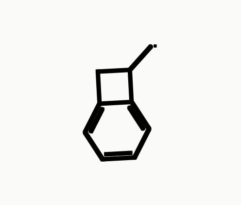 [CH2]C1Cc2ccccc21